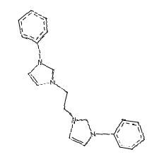 C1=CN(c2ccccc2)CN1CCN1C=CN(c2ccccc2)C1